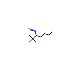 CCCCC([N]=[Ta])C(C)(C)C